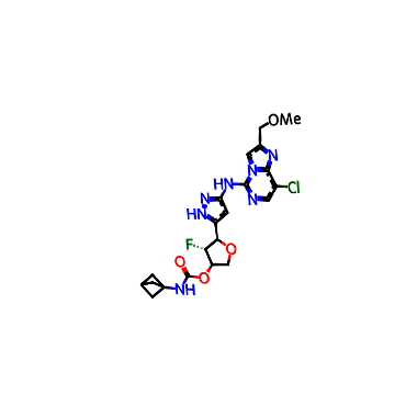 COCc1cn2c(Nc3cc([C@H]4OC[C@@H](OC(=O)NC56CC(C5)C6)[C@@H]4F)[nH]n3)ncc(Cl)c2n1